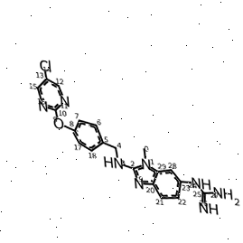 Cn1c(NCc2ccc(Oc3ncc(Cl)cn3)cc2)nc2ccc(NC(=N)N)cc21